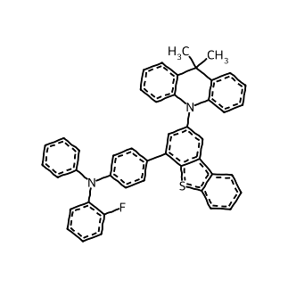 CC1(C)c2ccccc2N(c2cc(-c3ccc(N(c4ccccc4)c4ccccc4F)cc3)c3sc4ccccc4c3c2)c2ccccc21